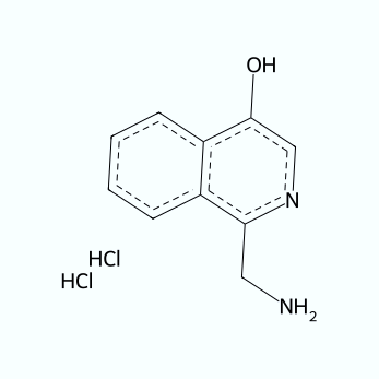 Cl.Cl.NCc1ncc(O)c2ccccc12